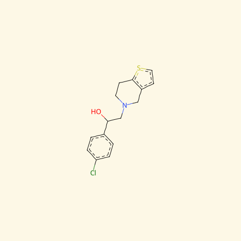 OC(CN1CCc2sccc2C1)c1ccc(Cl)cc1